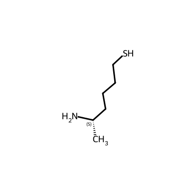 C[C@H](N)CCCCS